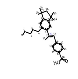 CCCCCc1cc2c(cc1/C(C)=C/c1ccc(C(=O)O)cc1)C(C)(C)CC2(C)C